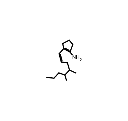 CCCC(C)C(C)C/C=C\C1=C(N)CCC1